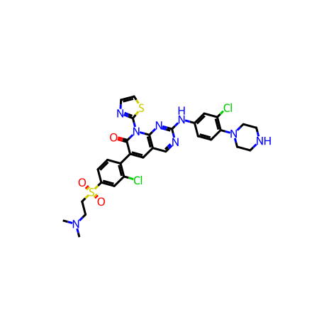 CN(C)CCS(=O)(=O)c1ccc(-c2cc3cnc(Nc4ccc(N5CCNCC5)c(Cl)c4)nc3n(-c3nccs3)c2=O)c(Cl)c1